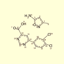 Cc1cc(N)on1.O=C(O)c1cc(-c2ccc(Cl)c(Cl)c2)ncn1